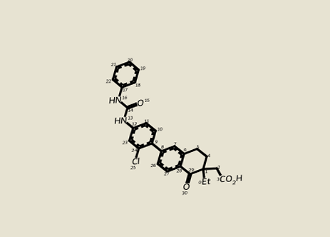 CCC1(CC(=O)O)CCc2cc(-c3ccc(NC(=O)Nc4ccccc4)cc3Cl)ccc2C1=O